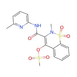 Cc1cccc(NC(=O)C2=C(OS(C)(=O)=O)c3ccccc3S(=O)(=O)N2C)n1